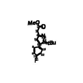 COC(=O)Cc1cc(-c2ccc(F)cc2)n(C(C)(C)C)n1